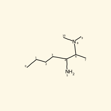 CCCCC(N)C(C)N(C)C